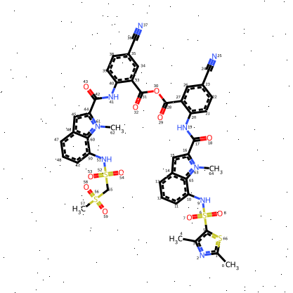 Cc1nc(C)c(S(=O)(=O)Nc2cccc3cc(C(=O)Nc4ccc(C#N)cc4C(=O)OC(=O)c4cc(C#N)ccc4NC(=O)c4cc5cccc(NS(=O)(=O)CS(C)(=O)=O)c5n4C)n(C)c23)s1